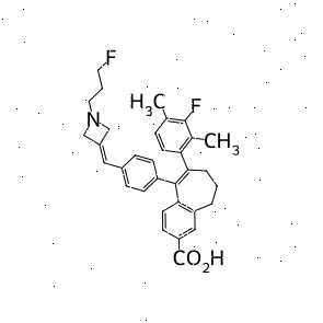 Cc1ccc(C2=C(c3ccc(C=C4CN(CCCF)C4)cc3)c3ccc(C(=O)O)cc3CCC2)c(C)c1F